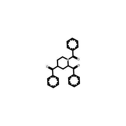 O=C(c1ccccc1)C1[CH]C(C(=O)c2ccccc2)N(C(=O)c2ccccc2)CC1